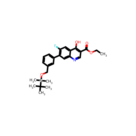 CCOC(=O)c1cnc2cc(-c3cccc(CO[Si](C)(C)C(C)(C)C)c3)c(F)cc2c1O